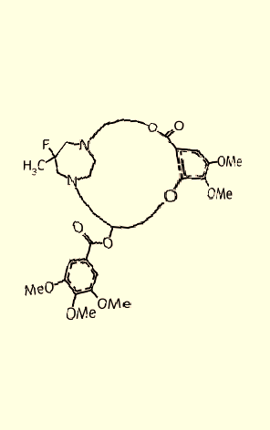 COc1cc(C(=O)OC2CCCOc3cc(cc(OC)c3OC)C(=O)OCCCN3CCN(CC2)CC(C)(F)C3)cc(OC)c1OC